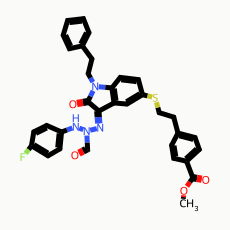 COC(=O)c1ccc(CCSc2ccc3c(c2)C(=NN(C=O)Nc2ccc(F)cc2)C(=O)N3CCc2ccccc2)cc1